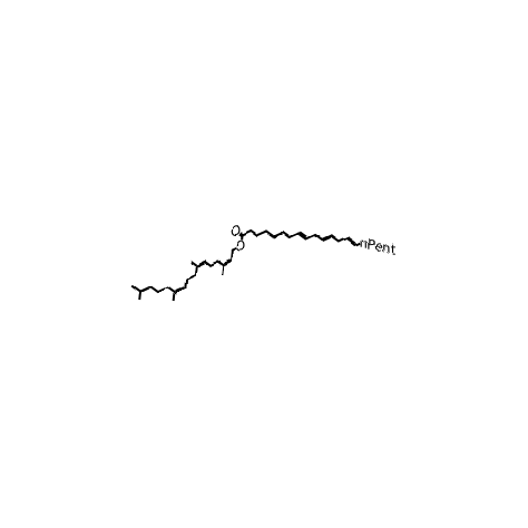 CCCCCC=CCC=CCC=CCC=CCCCC(=O)OCC=C(C)CCC=C(C)CCC=C(C)CCC=C(C)C